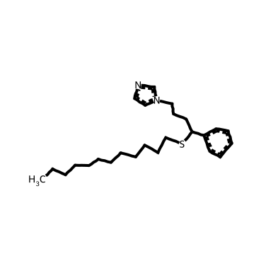 CCCCCCCCCCCCSC(CCCn1ccnc1)c1ccccc1